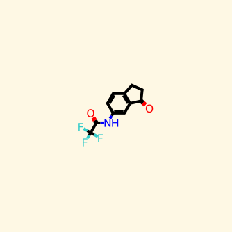 O=C1CCc2ccc(NC(=O)C(F)(F)F)cc21